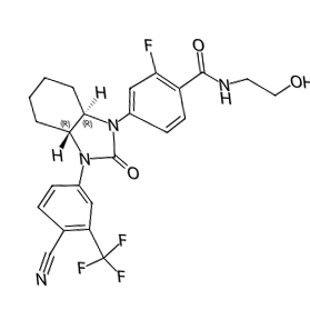 N#Cc1ccc(N2C(=O)N(c3ccc(C(=O)NCCO)c(F)c3)[C@@H]3CCCC[C@H]32)cc1C(F)(F)F